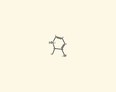 CC1NC=CC=C1Br